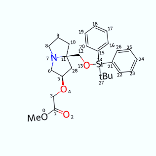 COC(=O)CO[C@H]1CN2CCC[C@]2(CO[Si](c2ccccc2)(c2ccccc2)C(C)(C)C)C1